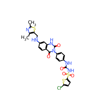 Cc1nc(C)c(CNc2ccc3c(=O)n(-c4ccc(NC(=O)NS(=O)(=O)c5ccc(Cl)s5)cc4)c(=O)[nH]c3c2)s1